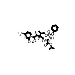 COC(C(F)[C@@](C)(CO)C(C)COP(=O)(N[C@@H](C)C(=O)OC(C)C)Oc1ccccc1)n1ccc(N)nc1=O